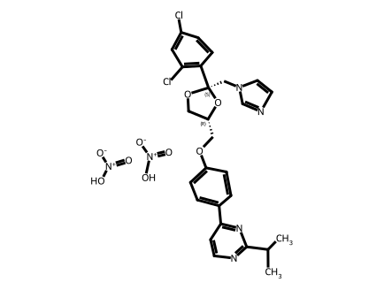 CC(C)c1nccc(-c2ccc(OC[C@@H]3CO[C@@](Cn4ccnc4)(c4ccc(Cl)cc4Cl)O3)cc2)n1.O=[N+]([O-])O.O=[N+]([O-])O